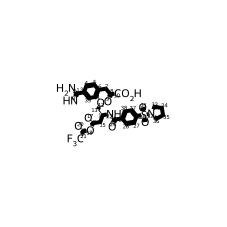 N=C(N)c1ccc(CC(=O)C(=O)O)c(OC[C@@H](CC(=O)OC(=O)C(F)(F)F)NC(=O)c2ccc(S(=O)(=O)N3CCCC3)cc2)c1